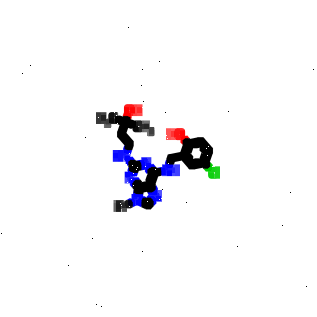 CC(C)n1cnc2c(NCc3cc(Cl)ccc3O)nc(NCCC(C)(C)O)nc21